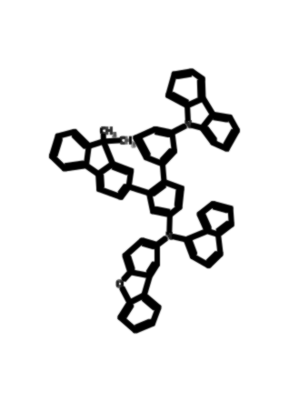 CC1(C)c2ccccc2-c2ccc(-c3cc(N(c4ccc5oc6ccccc6c5c4)c4cccc5ccccc45)ccc3-c3cccc(-n4c5ccccc5c5ccccc54)c3)cc21